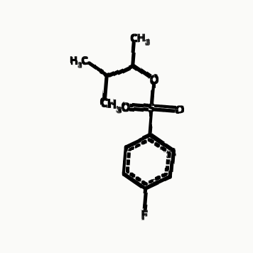 CC(C)C(C)OS(=O)(=O)c1ccc(F)cc1